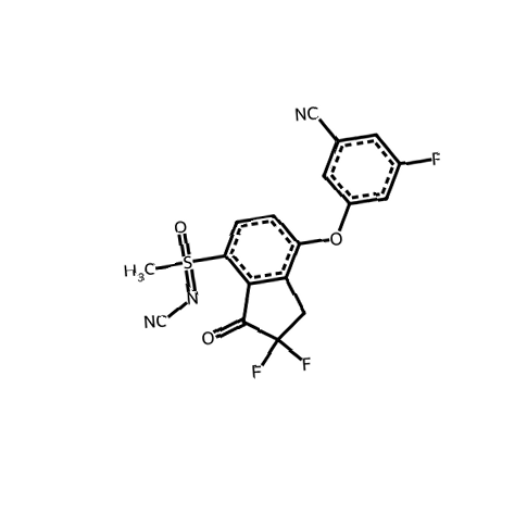 CS(=O)(=NC#N)c1ccc(Oc2cc(F)cc(C#N)c2)c2c1C(=O)C(F)(F)C2